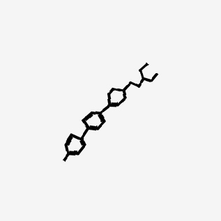 CCC(CC)CCC1CC=C(c2ccc(-c3ccc(C)cc3)cc2)CC1